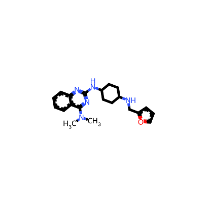 CN(C)c1nc(NC2CCC(NCc3ccco3)CC2)nc2ccccc12